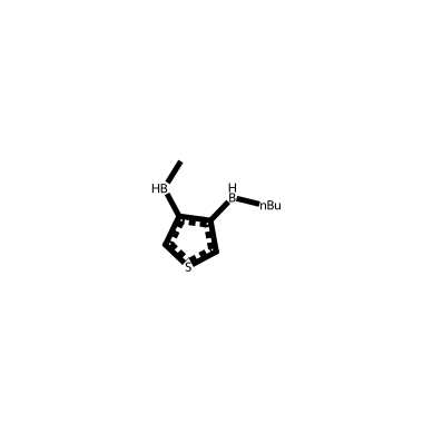 CBc1cscc1BCCCC